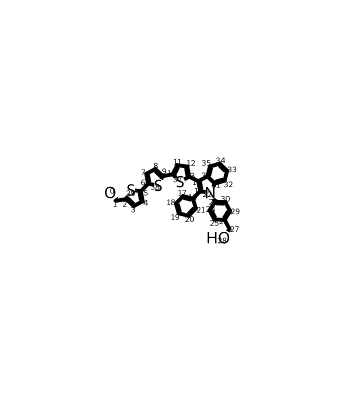 O=Cc1ccc(-c2ccc(-c3ccc(-c4c(-c5ccccc5)n(-c5ccc(CO)cc5)c5ccccc45)s3)s2)s1